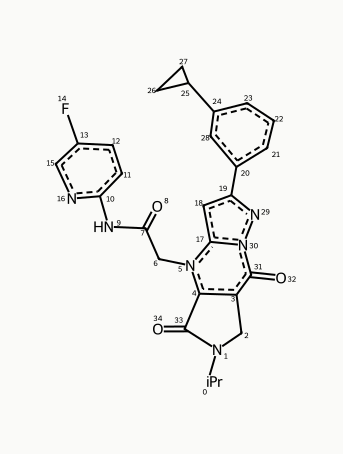 CC(C)N1Cc2c(n(CC(=O)Nc3ccc(F)cn3)c3cc(-c4cccc(C5CC5)c4)nn3c2=O)C1=O